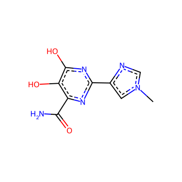 Cn1cnc(-c2nc(O)c(O)c(C(N)=O)n2)c1